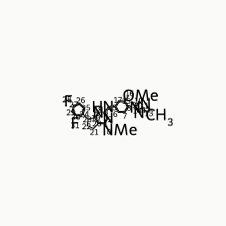 CNc1nc(Nc2ccc(-n3cnc(C)n3)c(OC)c2)nc2c1CCC2c1ccc(F)cc1F